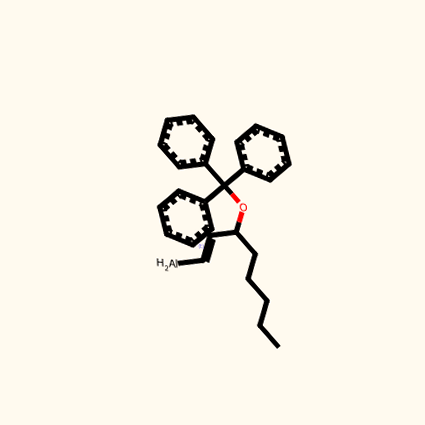 CCCCCC(/C=[CH]/[AlH2])OC(c1ccccc1)(c1ccccc1)c1ccccc1